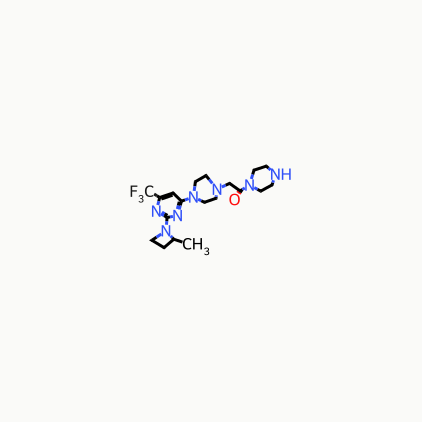 CC1CCN1c1nc(N2CCN(CC(=O)N3CCNCC3)CC2)cc(C(F)(F)F)n1